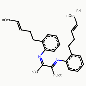 CCCCCCCCC=CCCc1ccccc1N=C(CCCC)C(CCCCCCCC)=Nc1ccccc1CCC=CCCCCCCCC.[Pd]